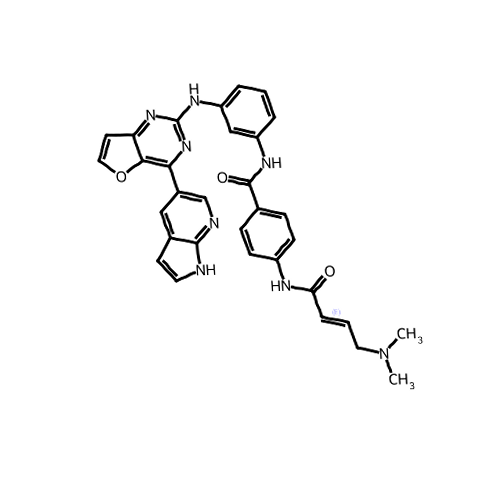 CN(C)C/C=C/C(=O)Nc1ccc(C(=O)Nc2cccc(Nc3nc(-c4cnc5[nH]ccc5c4)c4occc4n3)c2)cc1